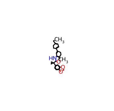 CCC1=CC=C(C2=CC(NC(=O)C3(c4ccc5c(c4)OCO5)CC3)=C(C)CC2)CC1